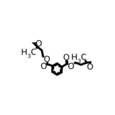 CC1(CCOC(=O)c2cccc(C(=O)OCCC3(C)CO3)c2)CO1